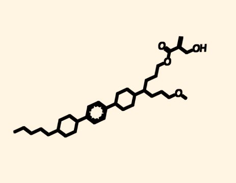 C=C(CO)C(=O)OCCCC(CCCOC)C1CCC(c2ccc(C3CCC(CCCCC)CC3)cc2)CC1